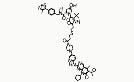 CC(=O)c1c(C)c2cnc(Nc3ccc(N4CCN(C(=O)CCSCCC(=O)N[C@H](C(=O)N5C[C@H](O)C[C@H]5C(=O)NCc5ccc(-c6scnc6C)cc5)C(C)(C)C)CC4)cn3)nc2n(C2CCCC2)c1=O